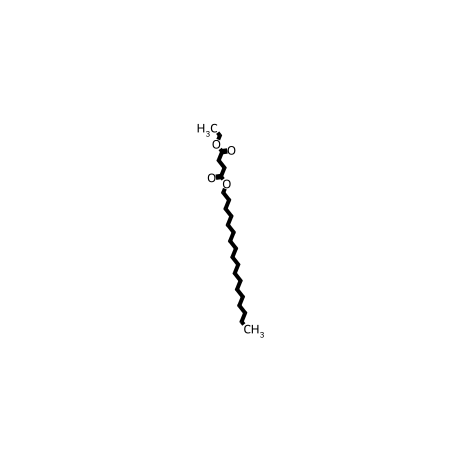 CCCCCCCCCCCCCCCCCCOC(=O)CCC(=O)OCC